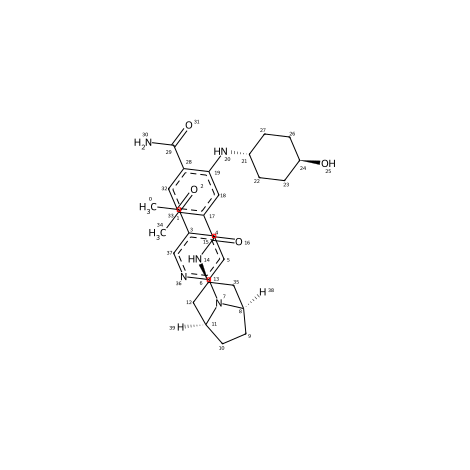 CC(=O)c1ccc(N2[C@@H]3CC[C@H]2C[C@@H](NC(=O)c2cc(N[C@H]4CC[C@H](O)CC4)c(C(N)=O)cc2C)C3)nc1